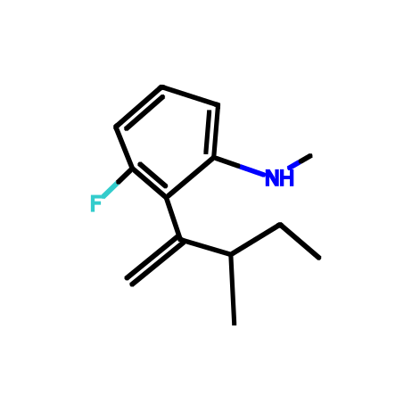 C=C(c1c(F)cccc1NC)C(C)CC